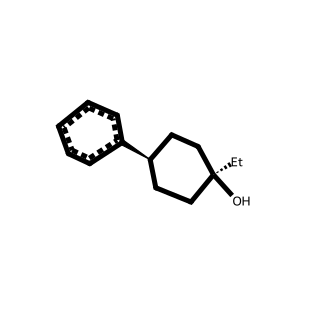 CC[C@]1(O)CC[C@@H](c2ccccc2)CC1